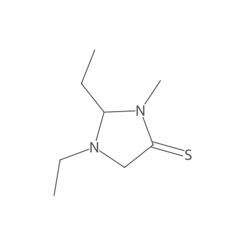 CCC1N(CC)CC(=S)N1C